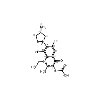 CCn1c(N)c(OC(=O)O)c(=O)c2cc(F)c(N3CCC(N)C3)c(F)c21